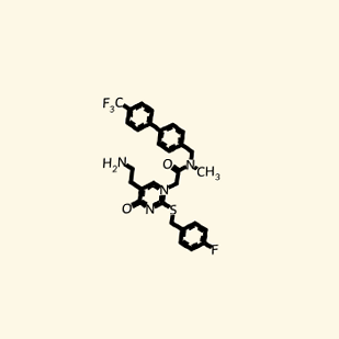 CN(Cc1ccc(-c2ccc(C(F)(F)F)cc2)cc1)C(=O)Cn1cc(CCN)c(=O)nc1SCc1ccc(F)cc1